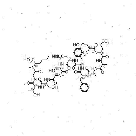 C[C@H](NC(=O)[C@H](C)NC(=O)[C@H](CCC(=O)O)NC(=O)[C@@H](N)CC(=O)O)C(=O)N[C@@H](Cc1ccccc1)C(=O)N[C@@H](Cc1ccccc1)C(=O)N[C@@H](CC(=O)O)C(=O)N[C@H](C(=O)N[C@@H](C)C(=O)N[C@@H](CO)C(=O)N[C@H](C(=O)NCC(=O)N[C@@H](CCCCN)C(=O)O)[C@@H](C)O)[C@@H](C)O